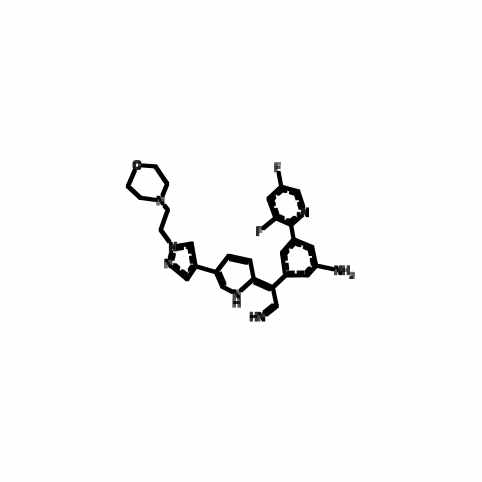 N=C/C(=C1/C=CC(c2cnn(CCN3CCOCC3)c2)=CN1)c1cc(N)cc(-c2ncc(F)cc2F)c1